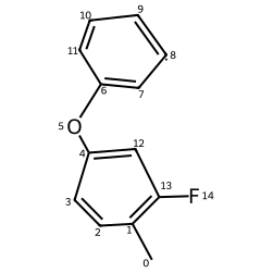 Cc1ccc(Oc2c[c]ccc2)cc1F